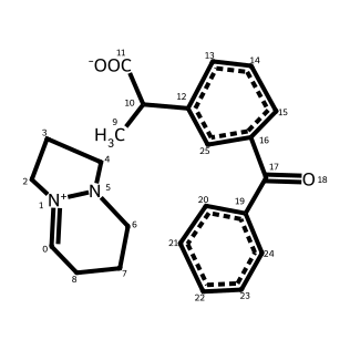 C1=[N+]2CCCN2CCC1.CC(C(=O)[O-])c1cccc(C(=O)c2ccccc2)c1